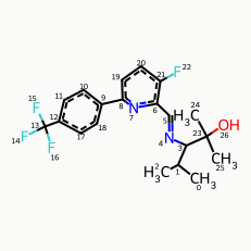 CC(C)C(N=Cc1nc(-c2ccc(C(F)(F)F)cc2)ccc1F)C(C)(C)O